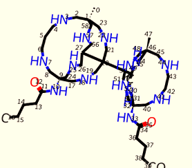 C[C@]12CNCCCNC[C@](NC(=O)CCCC(=O)O)(CNCCCNC1)CNCC(C1CNC[C@]3(NC(=O)CCCC(=O)O)CNCCNC[C@@](C)(CNCCNC3)CN1)CNC2